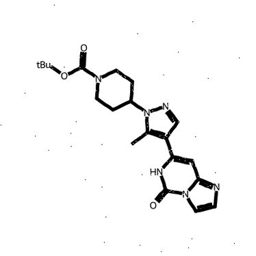 Cc1c(-c2cc3nccn3c(=O)[nH]2)cnn1C1CCN(C(=O)OC(C)(C)C)CC1